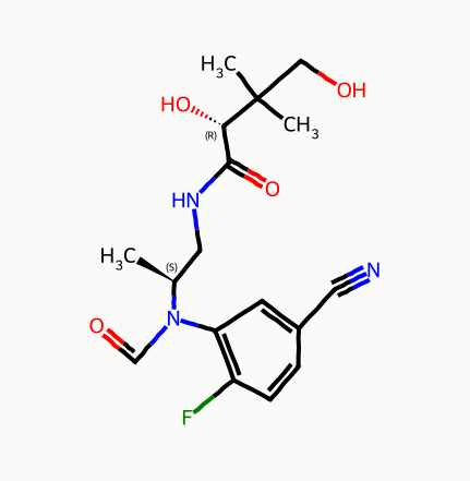 C[C@@H](CNC(=O)[C@H](O)C(C)(C)CO)N(C=O)c1cc(C#N)ccc1F